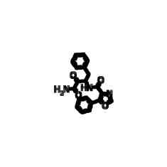 NC(=O)C(=O)C(Cc1ccccc1)NC(=O)c1ncoc1-c1ccccc1